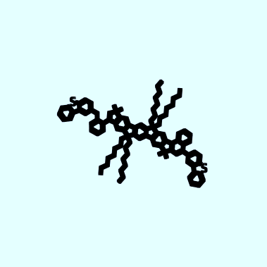 CCCCCCCCC1(CCCCCCCC)c2cc3c(cc2-c2cc4c(cc21)-c1cc2c(cc1C4(CCCCCCCC)CCCCCCCC)-c1c(cc(-c4ccc5sc6ccccc6c5c4)c4ccccc14)C2(C)C)C(C)(C)C=C3c1ccccc1Cc1ccc2sc3ccccc3c2c1